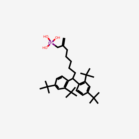 C=C(CCCCCC(c1ccc(C(C)(C)C)cc1C(C)(C)C)c1ccc(C(C)(C)C)cc1C(C)(C)C)C[PH](O)(O)O